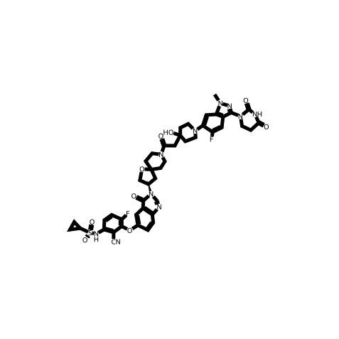 Cn1nc(N2CCC(=O)NC2=O)c2cc(F)c(N3CCC(O)(CC(=O)N4CCC5(CC4)C[C@@H](n4cnc6ccc(Oc7c(F)ccc(NS(=O)(=O)C8CC8)c7C#N)cc6c4=O)CO5)CC3)cc21